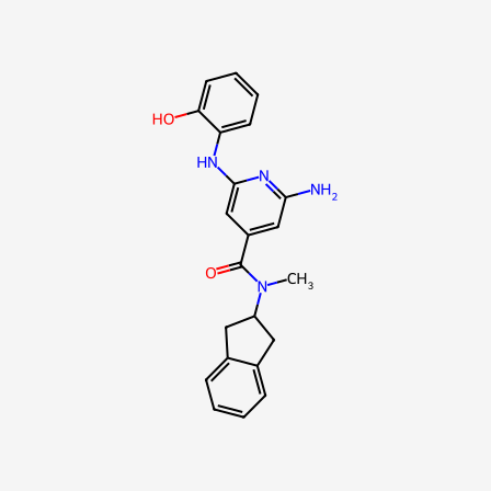 CN(C(=O)c1cc(N)nc(Nc2ccccc2O)c1)C1Cc2ccccc2C1